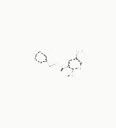 Nc1cnc([N+](=O)[O-])c(C(=O)NCc2ccccc2)c1